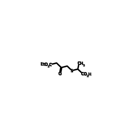 CCOC(=O)CC(=O)CSC(C)C(=O)O